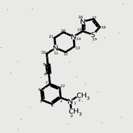 CN(C)c1cccc(C#CCN2CCN(c3nccs3)CC2)c1